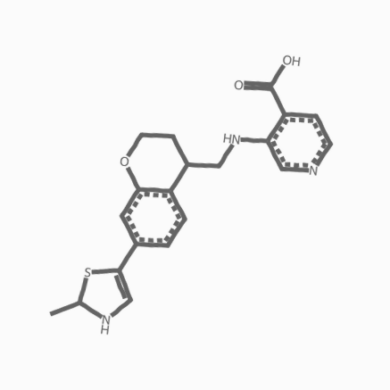 CC1NC=C(c2ccc3c(c2)OCCC3CNc2cnccc2C(=O)O)S1